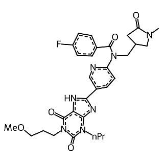 CCCn1c(=O)n(CCCOC)c(=O)c2[nH]c(-c3ccc(N(CC4CC(=O)N(C)C4)C(=O)c4ccc(F)cc4)nc3)nc21